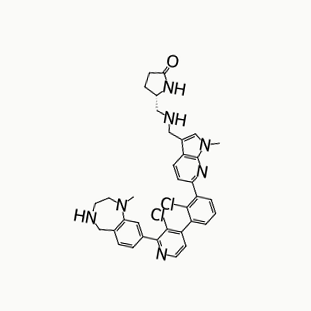 CN1CCNCc2ccc(-c3nccc(-c4cccc(-c5ccc6c(CNC[C@@H]7CCC(=O)N7)cn(C)c6n5)c4Cl)c3Cl)cc21